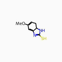 COC1=CCC2NC(S)=NC2=C1